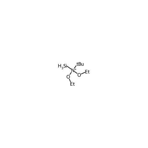 CCO[N+]([SiH3])(OCC)C(C)(C)C